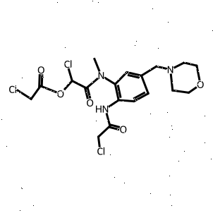 CN(C(=O)C(Cl)OC(=O)CCl)c1cc(CN2CCOCC2)ccc1NC(=O)CCl